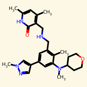 Cc1cc(C)c(CNCc2cc(-c3cnn(C)c3)cc(N(C)C3CCOCC3)c2C)c(=O)[nH]1